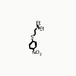 CCN(CC)CCSc1ccc([N+](=O)[O-])cc1